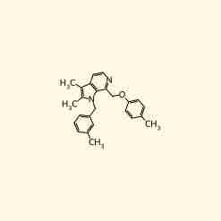 Cc1ccc(OCc2nccc3c(C)c(C)n(Cc4cccc(C)c4)c23)cc1